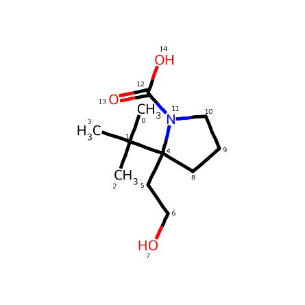 CC(C)(C)C1(CCO)CCCN1C(=O)O